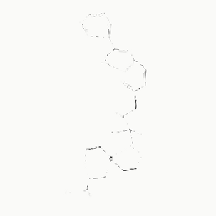 O=C(Cc1ccc2nc(-c3cccnc3)oc2c1)C(F)(O[C@H]1CC[C@H](C(=O)O)CC1)N1CCCC1